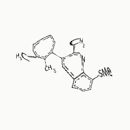 CSc1cccc2cc(-c3cccc(C)c3C)c(C)nc12